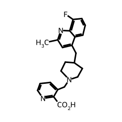 Cc1cc(CC2CCN(Cc3cccnc3C(=O)O)CC2)c2cccc(F)c2n1